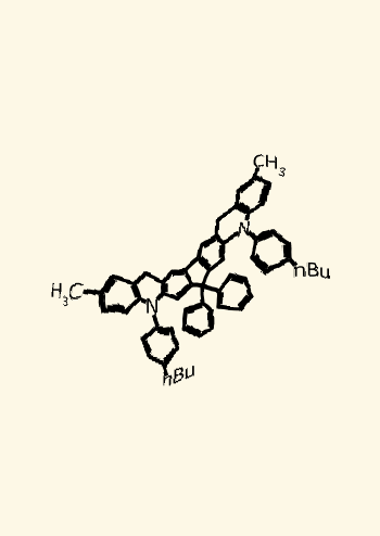 CCCCc1ccc(N2c3ccc(C)cc3Cc3cc4c(cc32)C(c2ccccc2)(c2ccccc2)c2cc3c(cc2-4)Cc2cc(C)ccc2N3c2ccc(CCCC)cc2)cc1